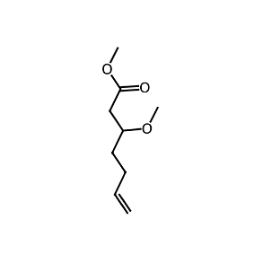 C=CCCC(CC(=O)OC)OC